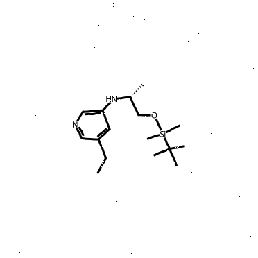 CCc1cncc(N[C@H](C)CO[Si](C)(C)C(C)(C)C)c1